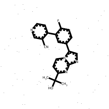 CC(C)(O)c1ccn2c(-c3ccc(F)c(-c4ccncc4C#N)c3)cnc2n1